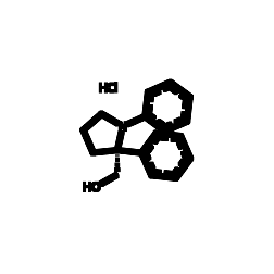 Cl.OC[C@]1(c2ccccc2)CCCN1c1ccccc1